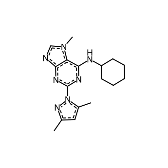 Cc1cc(C)n(-c2nc(NC3CCCCC3)c3c(ncn3C)n2)n1